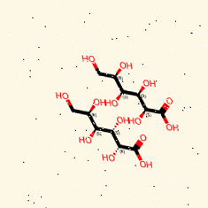 O=C(O)[C@@H](O)[C@H](O)[C@@H](O)[C@H](O)CO.O=C(O)[C@H](O)[C@@H](O)[C@@H](O)[C@H](O)CO